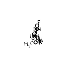 Cc1ccc(-n2nccn2)c(C(=O)N2C[C@@H]3CCN(c4cnc5cc(F)ccc5n4)C[C@H]32)c1F